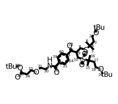 CC(C)(C)OCCC(C)(C)SCC(CS(=O)(=O)C(C)(C)CCOC(C)(C)C)C(=O)c1ccc(C(=O)NCCOCCC(=O)OC(C)(C)C)cc1